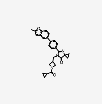 Cc1cc2cc(-c3ccc(C4=NC5(CC5)C(=O)N4CC4CN(C(=O)C5CC5)C4)cc3)ccc2o1